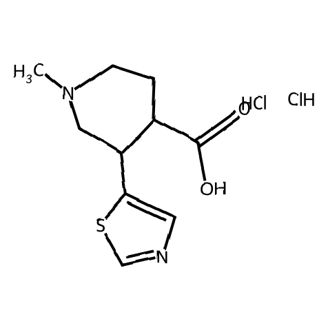 CN1CCC(C(=O)O)C(c2cncs2)C1.Cl.Cl